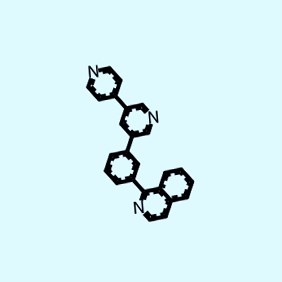 c1cc(-c2cncc(-c3ccncc3)c2)cc(-c2nccc3ccccc23)c1